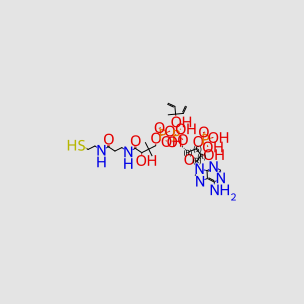 C=CC(C)(O)C=C.CC(C)(COP(=O)(O)OP(=O)(O)OC[C@H]1O[C@@H](n2cnc3c(N)ncnc32)[C@H](O)[C@@H]1OP(=O)(O)O)C(O)C(=O)NCCC(=O)NCCS